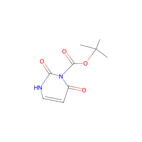 CC(C)(C)OC(=O)n1c(=O)cc[nH]c1=O